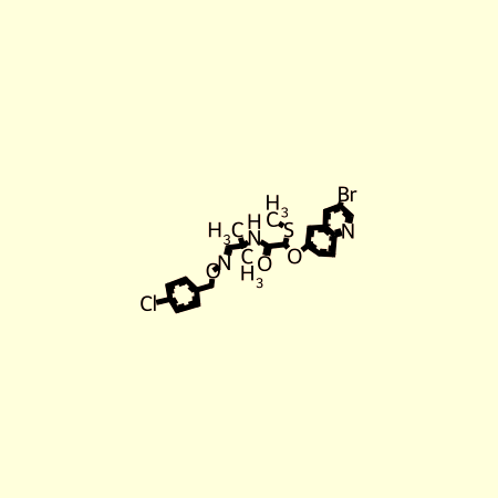 CSC(Oc1ccc2ncc(Br)cc2c1)C(=O)NC(C)(C)C=NOCc1ccc(Cl)cc1